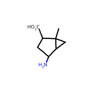 CC12CC1C(N)CC2C(=O)O